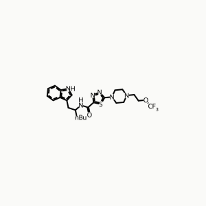 CCCCC(Cc1c[nH]c2ccccc12)NC(=O)c1nnc(N2CCN(CCOC(F)(F)F)CC2)s1